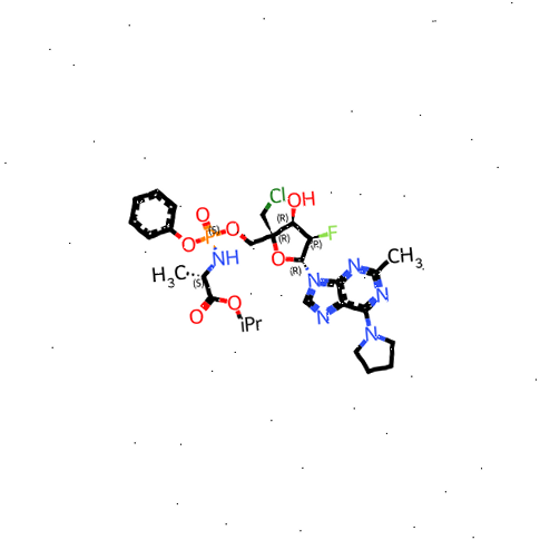 Cc1nc(N2CCCC2)c2ncn([C@@H]3O[C@](CCl)(CO[P@@](=O)(N[C@@H](C)C(=O)OC(C)C)Oc4ccccc4)[C@@H](O)[C@H]3F)c2n1